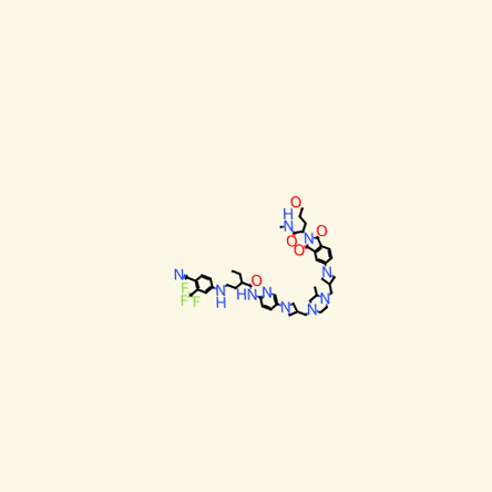 CCC(CCNc1ccc(C#N)c(C(F)(F)F)c1)C(=O)Nc1ccc(N2CC(CN3CCN(CC4CN(c5ccc6c(c5)C(=O)N(C(CCC=O)C(=O)NC)C6=O)C4)C(C)C3)C2)cn1